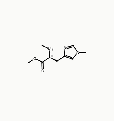 CN[C@@H](Cc1cn(C)cn1)C(=O)OC